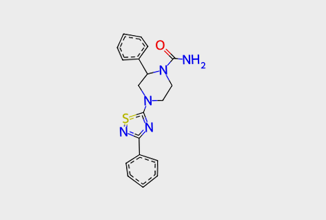 NC(=O)N1CCN(c2nc(-c3ccccc3)ns2)CC1c1ccccc1